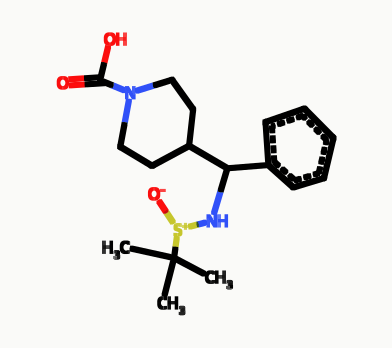 CC(C)(C)[S+]([O-])NC(c1ccccc1)C1CCN(C(=O)O)CC1